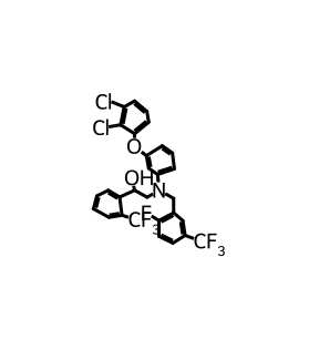 OC(CN(Cc1cc(C(F)(F)F)ccc1F)c1cccc(Oc2cccc(Cl)c2Cl)c1)c1ccccc1C(F)(F)F